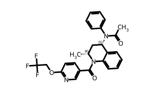 CC(=O)N(c1ccccc1)[C@H]1C[C@@H](C)N(C(=O)c2ccc(OCC(F)(F)F)nc2)c2ccccc21